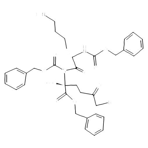 NCCCC[C@H](NC(=O)OCc1ccccc1)C(=O)N(C(=O)OCc1ccccc1)[C@@](CCC(=O)CBr)(C(=O)O)C(=O)OCc1ccccc1